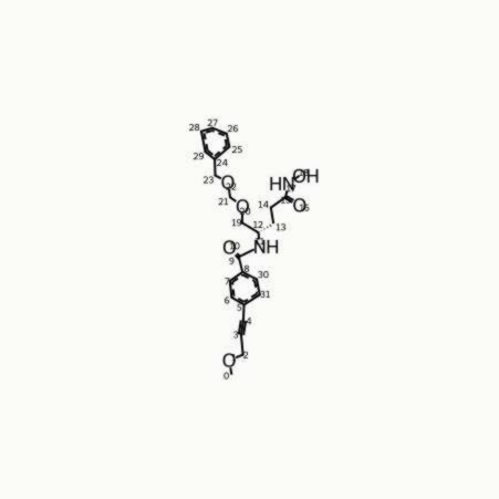 COCC#Cc1ccc(C(=O)N[C@@H](CCC(=O)NO)COCOCc2ccccc2)cc1